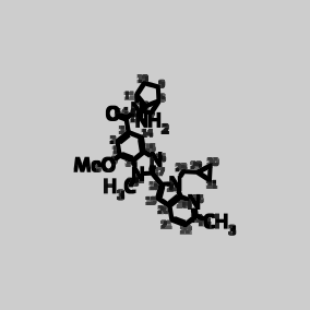 COc1cc(C(=O)N2CC3CCC2C3N)cc2nc(-c3cc4ccc(C)nc4n3CC3CC3)n(C)c12